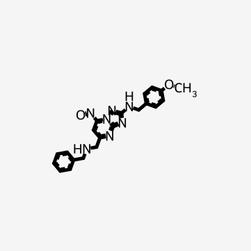 COc1ccc(CNc2nc3nc(CNCc4ccccc4)cc(N=O)n3n2)cc1